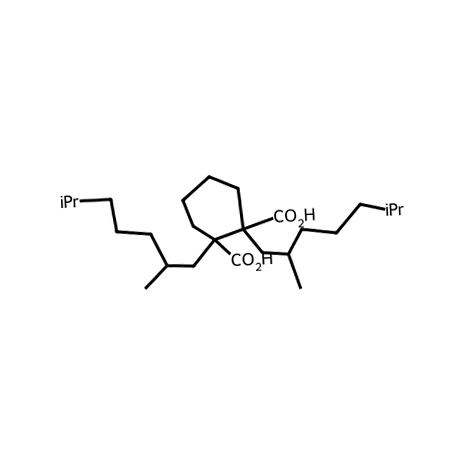 CC(C)CCCC(C)CC1(C(=O)O)CCCCC1(CC(C)CCCC(C)C)C(=O)O